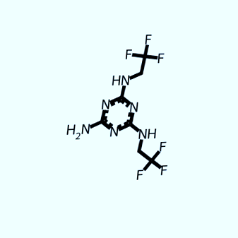 Nc1nc(NCC(F)(F)F)nc(NCC(F)(F)F)n1